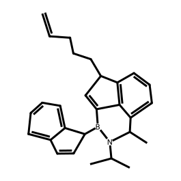 C=CCCCC1C=C2B(C3C=Cc4ccccc43)N(C(C)C)C(C)c3cccc1c32